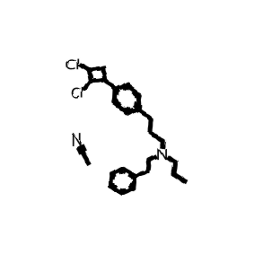 CC#N.CCCN(CCCc1ccc(C2CC(Cl)C2Cl)cc1)CCc1ccccc1